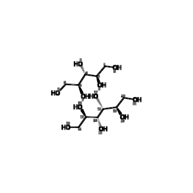 OC[C@@H](O)[C@@H](O)[C@@H](O)CO.OC[C@@H](O)[C@@H](O)[C@H](O)[C@H](O)CO